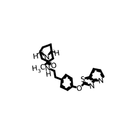 CC(=O)N1[C@@H]2CC[C@H]1C[C@H](NCCc1ccc(Oc3nc4ncccc4s3)cc1)C2